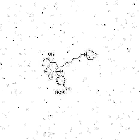 C=C[C@@]12CCc3cc(NS(=O)(=O)O)ccc3[C@H]1[C@@H](CCCCCCN1CCOCC1)C[C@@]1(C)[C@H]2CC[C@@H]1O